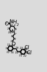 NC(=O)C1CCN(CCCCOc2ccccc2CCc2ccc(Cl)c(Cl)c2)CC1